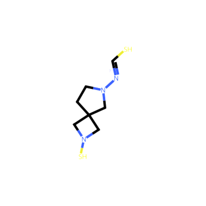 S/C=N/N1CCC2(CN(S)C2)C1